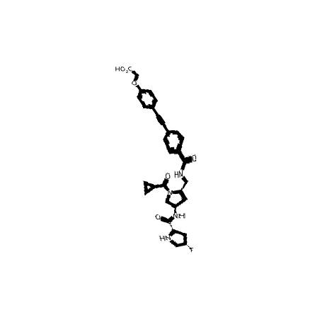 O=C(O)COc1ccc(C#Cc2ccc(C(=O)NC[C@H]3C[C@@H](NC(=O)[C@@H]4C[C@H](F)CN4)CN3C(=O)C3CC3)cc2)cc1